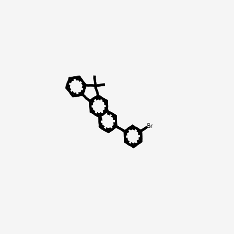 CC1(C)c2ccccc2-c2cc3ccc(-c4cccc(Br)c4)cc3cc21